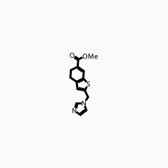 COC(=O)C1=Cc2sc(Cn3ccnc3)cc2CC1